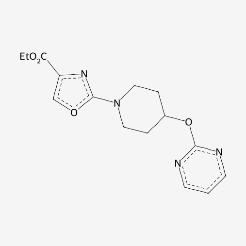 CCOC(=O)c1coc(N2CCC(Oc3ncccn3)CC2)n1